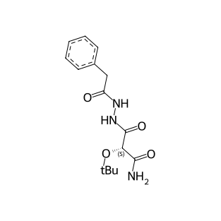 CC(C)(C)O[C@@H](C(N)=O)C(=O)NNC(=O)Cc1ccccc1